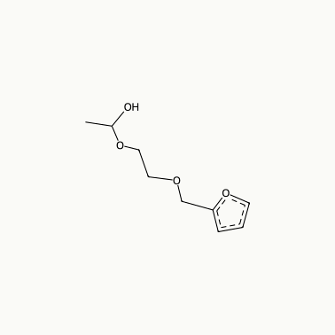 CC(O)OCCOCc1ccco1